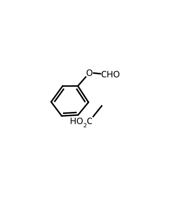 CC(=O)O.O=COc1ccccc1